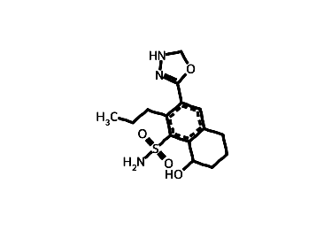 CCCc1c(C2=NNCO2)cc2c(c1S(N)(=O)=O)C(O)CCC2